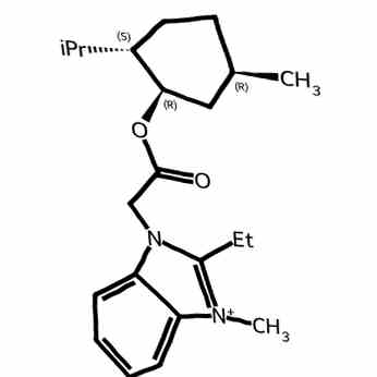 CCc1n(CC(=O)O[C@@H]2C[C@H](C)CC[C@H]2C(C)C)c2ccccc2[n+]1C